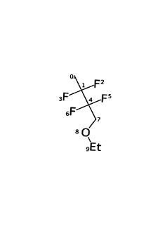 [CH2]C(F)(F)C(F)(F)COCC